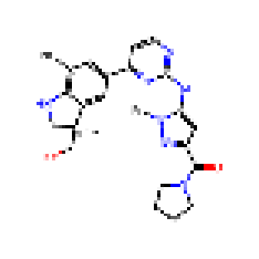 CC(C)n1nc(C(=O)N2CCCC2)cc1Nc1nccc(-c2cc(C#N)c3c(c2)[C@@](C)(CO)CN3)n1